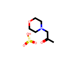 CC(=O)CN1CCOCC1.O=[SH](=O)O